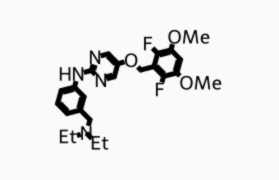 CCN(CC)Cc1cccc(Nc2ncc(OCc3c(F)c(OC)cc(OC)c3F)cn2)c1